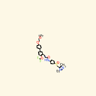 CCCOCCOc1ccc(-c2ccc(OC(F)F)c(/C=C/C(=O)Nc3ccc([S+]([O-])Cc4c(C)ncn4CC)cc3)c2)cc1